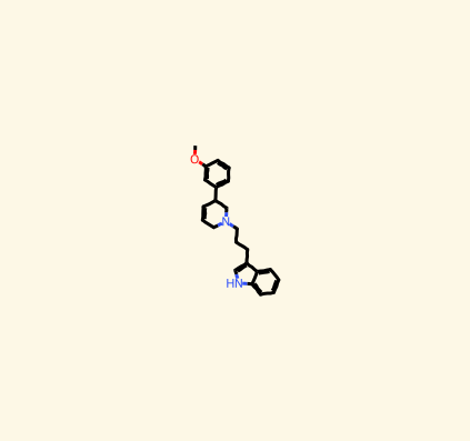 COc1cccc(C2C=CCN(CCCc3c[nH]c4ccccc34)C2)c1